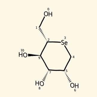 OC[C@@H]1[Se]C[C@H](O)[C@H](O)[C@H]1O